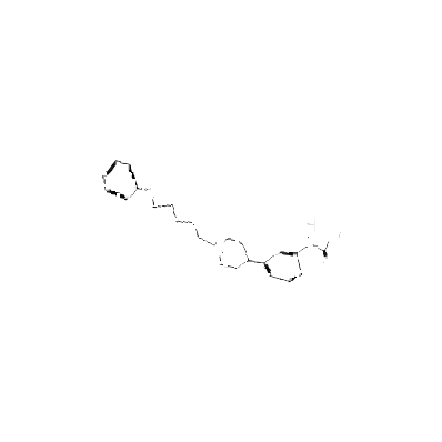 CCC(=O)Nc1cccc(C2CCN(CCCCCSc3ccccc3)CC2)c1